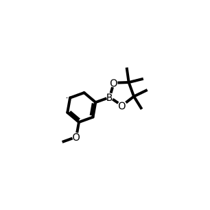 COC1=C[CH]CC(B2OC(C)(C)C(C)(C)O2)=C1